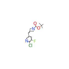 CC(C)(C)OC(=O)N1CC(=Cc2cnc(Cl)c(F)c2)C1